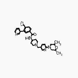 CC1CN(c2ccc(CN3CCC(NC(=O)c4ccc(Cl)c(-c5cccnc5)c4)CC3)cn2)CC(C)O1